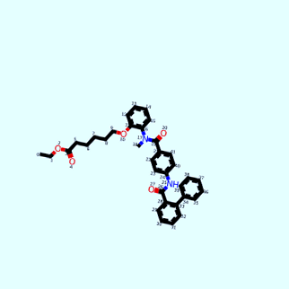 CCOC(=O)CCCCCOc1ccccc1N(C)C(=O)c1ccc(NC(=O)c2ccccc2-c2ccccc2)cc1